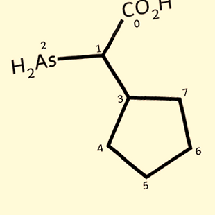 O=C(O)C([AsH2])C1CCCC1